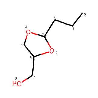 CCCC1OCC(CO)O1